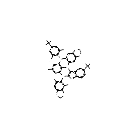 Cc1cc2c3c(c1)N(c1c(C)cc4c(c1C)OCO4)c1sc4ccc(C(C)(C)C)cc4c1B3c1cc3c(cc1N2c1c(C)cc(C(C)(C)C)cc1C)OCO3